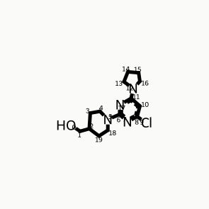 OCC1CCN(c2nc(Cl)cc(N3CCCC3)n2)CC1